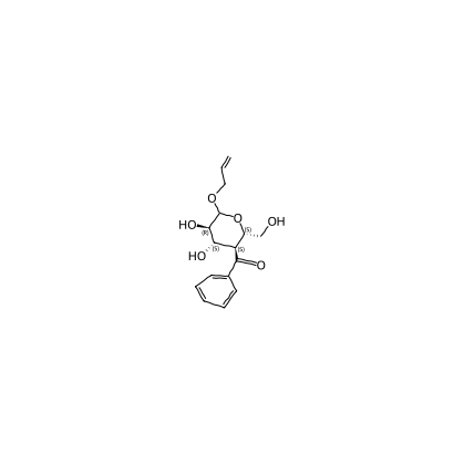 C=CCOC1O[C@H](CO)[C@@H](C(=O)c2ccccc2)[C@H](O)[C@H]1O